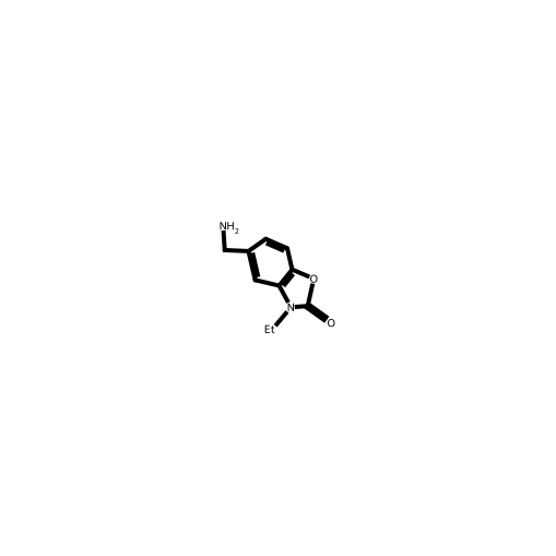 CCn1c(=O)oc2ccc(CN)cc21